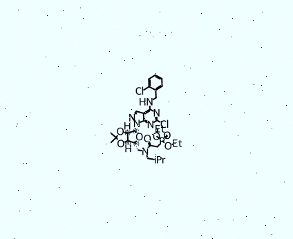 CCOP(=O)(CC(=O)N(CC(C)C)C[C@H]1O[C@@H](n2ncc3c(NCc4ccccc4Cl)nc(Cl)nc32)[C@@H]2OC(C)(C)O[C@@H]21)OCC